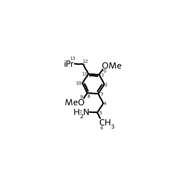 COc1cc(CC(C)N)c(OC)cc1CC(C)C